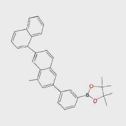 Cc1cc(-c2cccc(B3OC(C)(C)C(C)(C)O3)c2)cc2ccc(-c3cccc4ccccc34)cc12